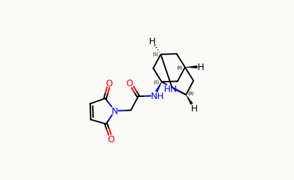 O=C(CN1C(=O)C=CC1=O)N[C@@]12C[C@@H]3C[C@@H](C[C@H](C3)N1)C2